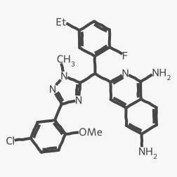 CCc1ccc(F)c(C(c2cc3cc(N)ccc3c(N)n2)c2nc(-c3cc(Cl)ccc3OC)nn2C)c1